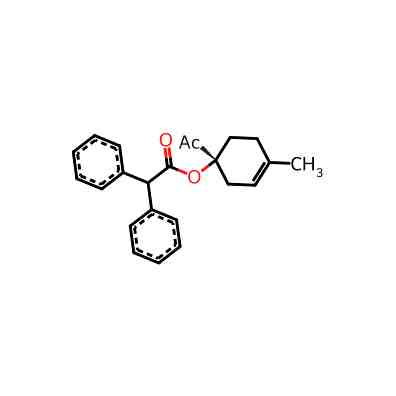 CC(=O)[C@]1(OC(=O)C(c2ccccc2)c2ccccc2)CC=C(C)CC1